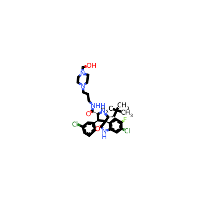 CC(C)(C)C[C@H]1N[C@@H](C(=O)NCCCN2CCN(CO)CC2)[C@H](c2cccc(Cl)c2)[C@@]12C(=O)Nc1cc(Cl)c(F)cc12